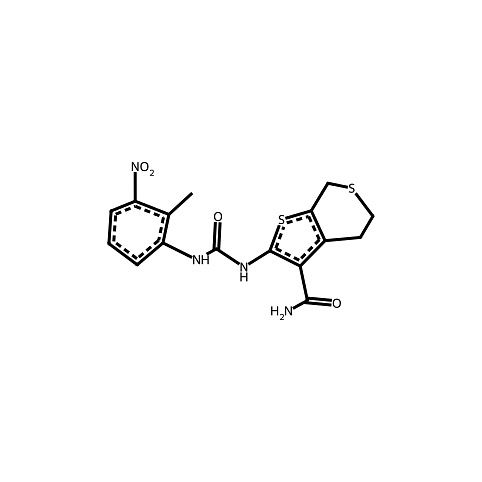 Cc1c(NC(=O)Nc2sc3c(c2C(N)=O)CCSC3)cccc1[N+](=O)[O-]